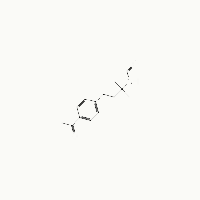 CC(=O)c1ccc(CCC(C)(C)NC=O)cc1